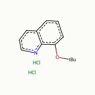 CC(C)(C)Oc1cccc2cccnc12.Cl.Cl